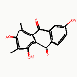 Cc1c(O)c(C)c2c(c1O)C(=O)c1ccc(O)cc1C2=O